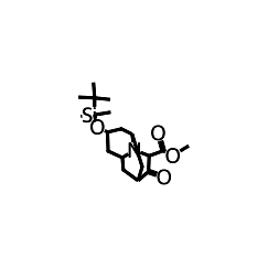 COC(=O)C1C(=O)C2CC3CC(O[Si](C)(C)C(C)(C)C)CC(C2)N31